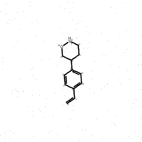 C=Cc1ccc(C2CC[SiH2]OC2)cc1